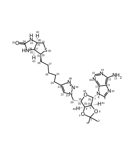 CC1(C)O[C@@H]2[C@H](O1)[C@@H](n1cnc3c(N)ncnc31)O[C@H]2Cn1cc(CCCCC[C@@H]2SC[C@@H]3NC(=O)N[C@@H]32)nn1